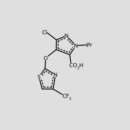 CC(C)n1nc(Cl)c(Oc2nc(C(F)(F)F)cs2)c1C(=O)O